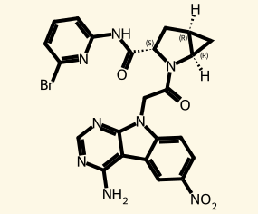 Nc1ncnc2c1c1cc([N+](=O)[O-])ccc1n2CC(=O)N1[C@@H]2C[C@@H]2C[C@H]1C(=O)Nc1cccc(Br)n1